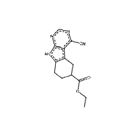 CCOC(=O)C1CCc2[nH]c3ncnc(O)c3c2C1